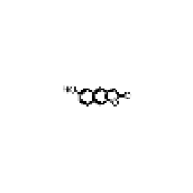 O=C1Cc2cc3cc(O)ccc3cc2O1